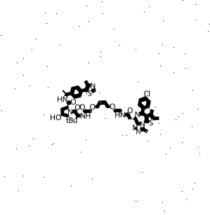 Cc1ncsc1-c1ccc([C@H](C)NC(=O)[C@@H]2C[C@@H](O)CN2C(=O)[C@@H](NC(=O)COC/C=C\COCCNC(=O)C[C@@H]2N=C(c3ccc(Cl)cc3)c3c(sc(C)c3C)-n3c(C)nnc32)C(C)(C)C)cc1